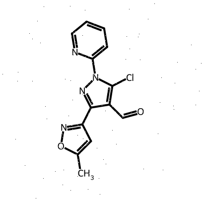 Cc1cc(-c2nn(-c3ccccn3)c(Cl)c2C=O)no1